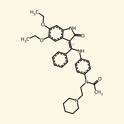 CCOc1cc2c(cc1OCC)/C(=C(/Nc1ccc(N(CCN3CCCCC3)C(C)=O)cc1)c1ccccc1)C(=O)N2